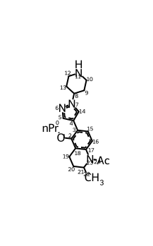 CCCOc1c(-c2cnn(C3CCNCC3)c2)ccc2c1CCC(C)N2C(C)=O